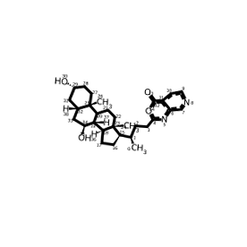 C[C@H](CCc1nc2cnccc2c(=O)o1)[C@H]1CC[C@H]2[C@H]3C(CC[C@]12C)[C@@]1(C)CC[C@@H](O)C[C@H]1C[C@@H]3O